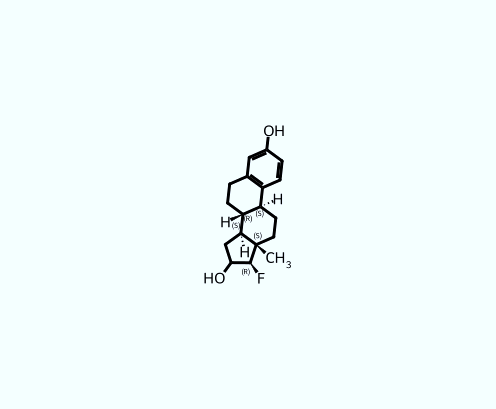 C[C@]12CC[C@@H]3c4ccc(O)cc4CC[C@H]3[C@@H]1CC(O)[C@@H]2F